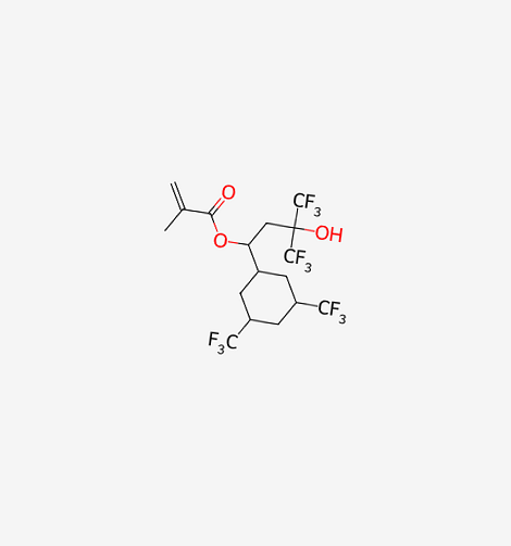 C=C(C)C(=O)OC(CC(O)(C(F)(F)F)C(F)(F)F)C1CC(C(F)(F)F)CC(C(F)(F)F)C1